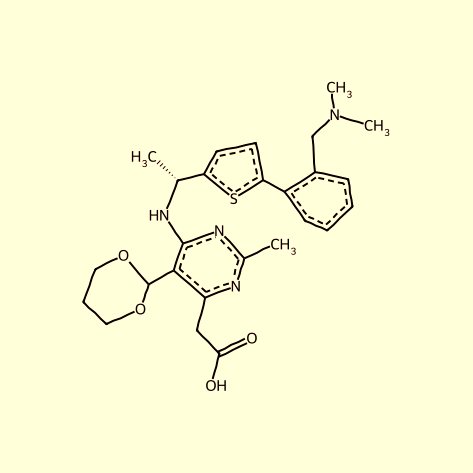 Cc1nc(CC(=O)O)c(C2OCCCO2)c(N[C@H](C)c2ccc(-c3ccccc3CN(C)C)s2)n1